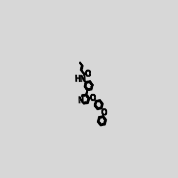 C/C=C/C(=O)Nc1cccc(-c2cnccc2Oc2ccc(Oc3ccccc3)cc2)c1